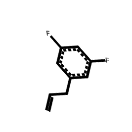 C=CCc1cc(F)cc(F)c1